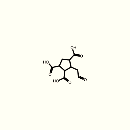 O=CCC1C(C(=O)O)CC(C(=O)O)C1C(=O)O